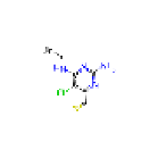 CC(C)CNc1nc(N)nc(C=S)c1Cl